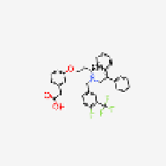 C[C@H](CCOc1cccc(CC(=O)O)c1)N(Cc1ccc(F)c(C(F)(F)F)c1)CC(c1ccccc1)c1ccccc1